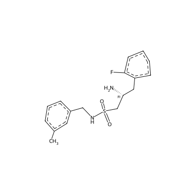 Cc1cccc(CNS(=O)(=O)C[C@H](N)Cc2ccccc2F)c1